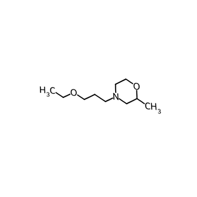 CCOCCCN1CCOC(C)C1